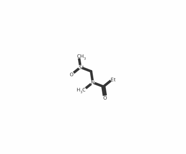 CCC(=O)N(C)C[S+](C)[O-]